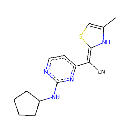 CC1=CSC(=C(C#N)c2ccnc(NC3CCCC3)n2)N1